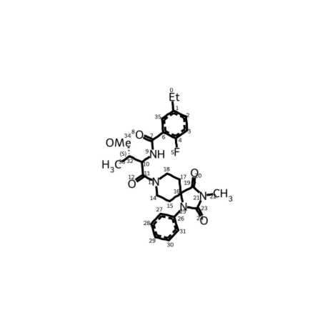 CCc1ccc(F)c(C(=O)NC(C(=O)N2CCC3(CC2)C(=O)N(C)C(=O)N3c2ccccc2)[C@H](C)OC)c1